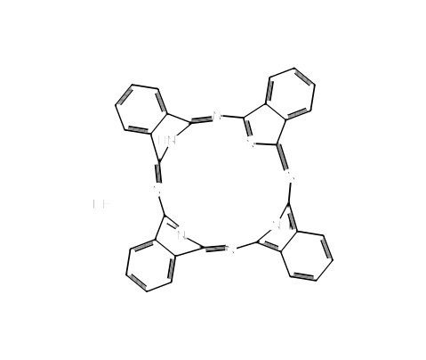 [LiH].c1ccc2c(c1)-c1nc-2nc2[nH]c(nc3nc(nc4[nH]c(n1)c1ccccc41)-c1ccccc1-3)c1ccccc21